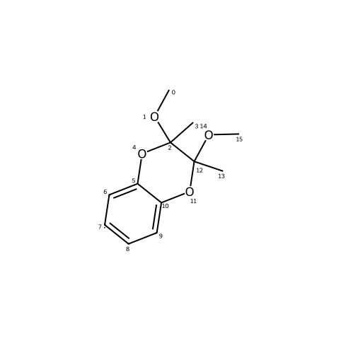 COC1(C)Oc2c[c]ccc2OC1(C)OC